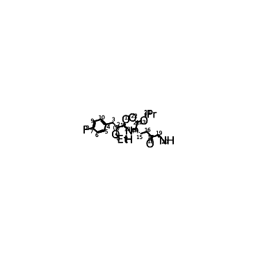 CCO[C@@H](Cc1ccc(F)cc1)C(=O)N[C@@H](CCC(=O)C=N)C(=O)OC(C)C